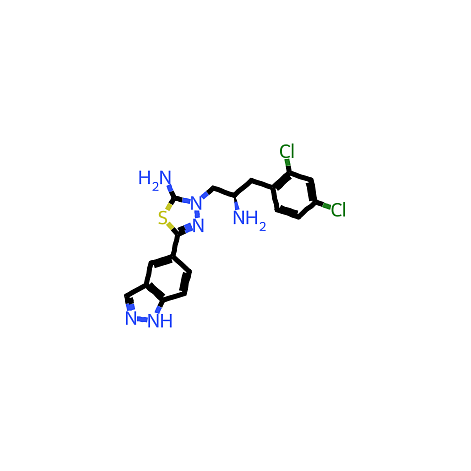 NC1SC(c2ccc3[nH]ncc3c2)=NN1C[C@H](N)Cc1ccc(Cl)cc1Cl